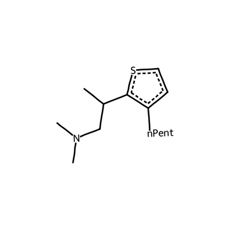 CCCCCc1ccsc1C(C)CN(C)C